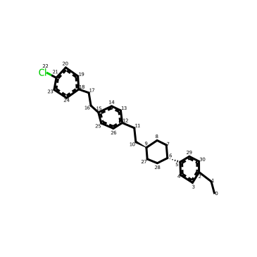 CCc1ccc([C@H]2CC[C@H](CCc3ccc(CCc4ccc(Cl)cc4)cc3)CC2)cc1